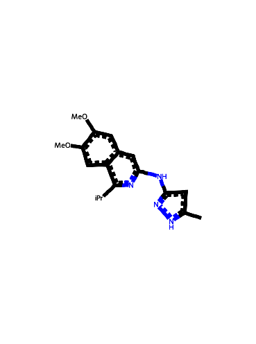 COc1cc2cc(Nc3cc(C)[nH]n3)nc(C(C)C)c2cc1OC